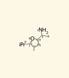 CC(C)c1ccc(C(C)N)o1